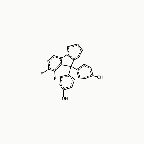 Oc1ccc(C2(c3ccc(O)cc3)c3ccccc3-c3ccc(F)c(F)c32)cc1